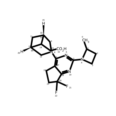 CC1CCN1c1nc(N2C[C@H]3C[C@@H](C2)C3CC(=O)O)c2c(n1)C(F)(F)CC2